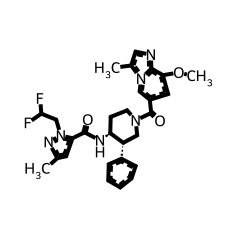 COc1cc(C(=O)N2CC[C@@H](NC(=O)c3cc(C)nn3CC(F)F)[C@@H](c3ccccc3)C2)cn2c(C)cnc12